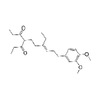 CCC(=O)C(CC/C(=C/CCc1ccc(OC)c(OC)c1)CC)C(=O)CC